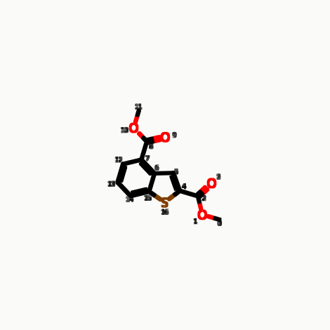 COC(=O)c1cc2c(C(=O)OC)cccc2s1